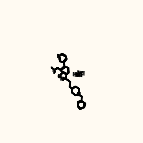 CN(C)Cc1c(-c2cccnc2)ccc2c(CCC3CCN(Cc4ccccc4)CC3)noc12.Cl.Cl.Cl